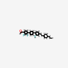 CCCC1CC=C(CCc2ccc(-c3ccc(-c4ccc(C5CO5)c(F)c4F)cc3)c(F)c2)CC1